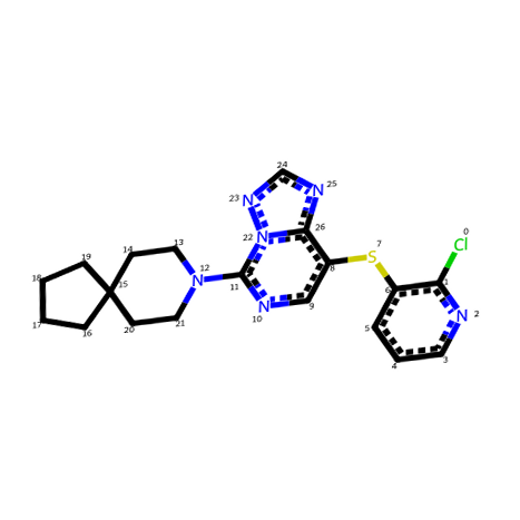 Clc1ncccc1Sc1cnc(N2CCC3(CCCC3)CC2)n2ncnc12